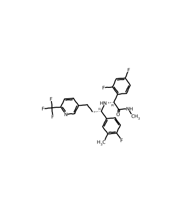 CNC(=O)[C@H](N[C@@H](CCc1ccc(C(F)(F)F)nc1)c1ccc(F)c(C)c1)c1ccc(F)cc1F